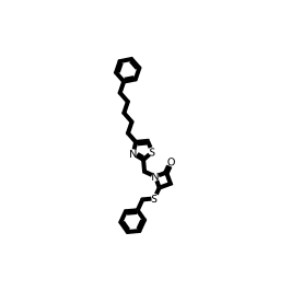 O=C1CC(SCc2ccccc2)N1Cc1nc(CCCCCc2ccccc2)cs1